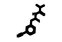 CC(C)C(=O)NC(I)Cc1cccc(C#N)c1